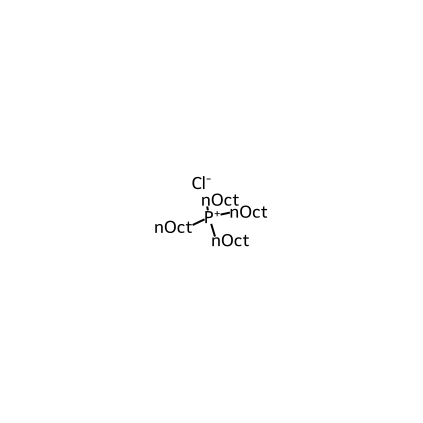 CCCCCCCC[P+](CCCCCCCC)(CCCCCCCC)CCCCCCCC.[Cl-]